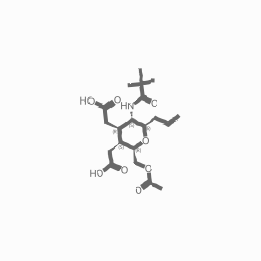 CCC[C@H]1O[C@@H](COC(C)=O)[C@@H](CC(=O)O)[C@@H](CC(=O)O)[C@@H]1NC(=O)C(C)(C)C